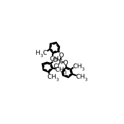 Cc1cccc([O][Ti]([Cl])([O]c2cccc(C)c2C)[O]c2cccc(C)c2C)c1C